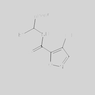 CCCCCC(CC)NC(=O)c1oncc1C